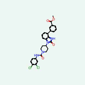 COC(=O)c1cccc(-c2cccc3c2[nH]c(=O)n3C2CCN(C(=O)Nc3ccc(Cl)c(Cl)c3)CC2)c1